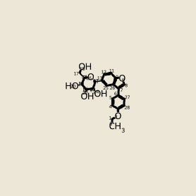 CCOc1ccc(-c2coc3ccc([C@@H]4O[C@H](CO)[C@@H](O)[C@H](O)[C@H]4O)cc23)cc1